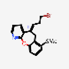 CSc1cccc2c1C/C(=C\CCBr)c1cccnc1O2